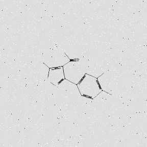 Cc1onc(-c2ccc(F)c(F)c2)c1C(=O)O